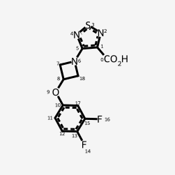 O=C(O)c1nsnc1N1CC(Oc2ccc(F)c(F)c2)C1